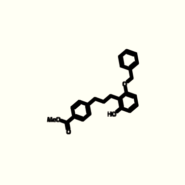 COC(=O)c1ccc(CCCc2c(O)cccc2OCc2ccccc2)cc1